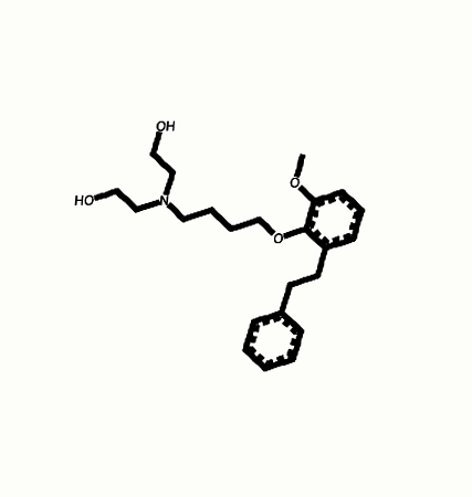 COc1cccc(CCc2ccccc2)c1OCCCCN(CCO)CCO